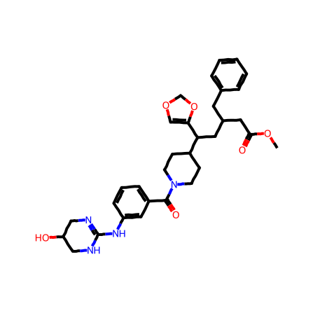 COC(=O)CC(Cc1ccccc1)CC(C1=COCO1)C1CCN(C(=O)c2cccc(NC3=NCC(O)CN3)c2)CC1